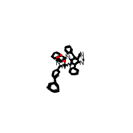 c1ccc(-c2ccc(-c3nc(-c4ccccc4)nc(-n4c5ccccc5c5c6ncncc6c6c7ccccc7n(-c7ccccc7)c6c54)n3)cc2)cc1